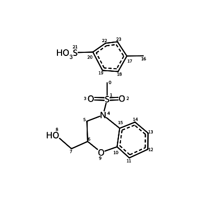 CS(=O)(=O)N1CC(CO)Oc2ccccc21.Cc1ccc(S(=O)(=O)O)cc1